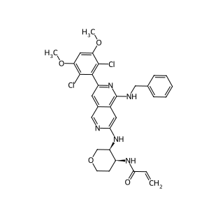 C=CC(=O)N[C@H]1CCOC[C@H]1Nc1cc2c(NCc3ccccc3)nc(-c3c(Cl)c(OC)cc(OC)c3Cl)cc2cn1